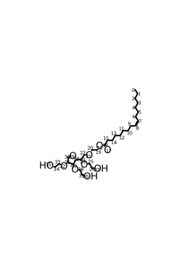 CCCCCCC/C=C\CCCCCCCC(=O)OCCOCC(OCCO)C1OCC(OCCO)C1OCCO